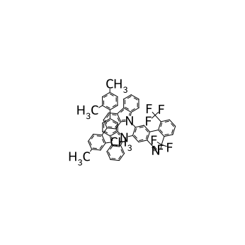 Cc1ccc(-c2ccc3c4ccccc4n(-c4cc(C#N)c(-c5c(C(F)(F)F)cccc5C(F)(F)F)cc4-n4c5ccccc5c5ccc(-c6ccc(C)cc6C)cc54)c3c2)c(C)c1